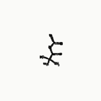 CC(C)(C)C(=O)OP(=O)=O